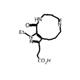 CCn1nc(CCC(=O)O)c2c1C(=O)NCCCNCCC2